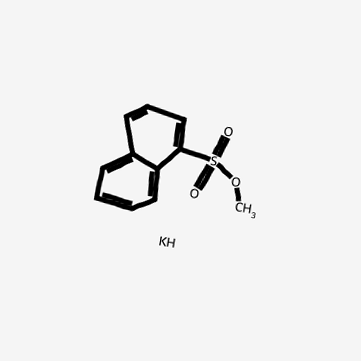 COS(=O)(=O)c1cccc2ccccc12.[KH]